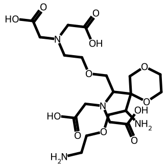 NCCOCC(N)C1(C(COCCN(CC(=O)O)CC(=O)O)N(CC(=O)O)CC(=O)O)COCCO1